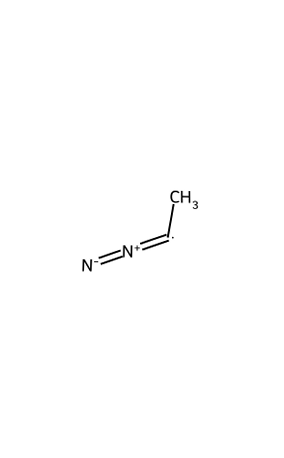 C[C]=[N+]=[N-]